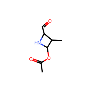 CC(=O)OC1NC(C=O)C1C